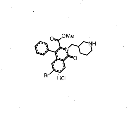 COC(=O)c1c(-c2ccccc2)c2cc(Br)ccc2c(=O)n1CC1CCCNC1.Cl